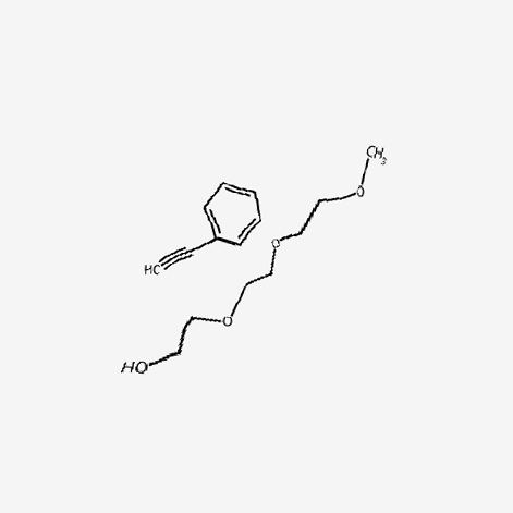 C#Cc1ccccc1.COCCOCCOCCO